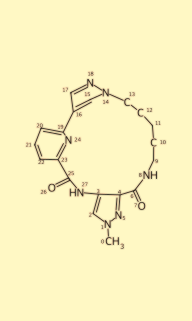 Cn1cc2c(n1)C(=O)NCCCCCn1cc(cn1)-c1cccc(n1)C(=O)N2